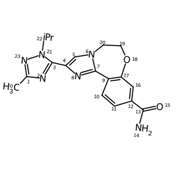 Cc1nc(-c2cn3c(n2)-c2ccc(C(N)=O)cc2OCC3)n(C(C)C)n1